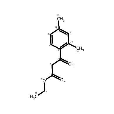 CCOC(=O)CC(=O)c1ccc(C)cc1C